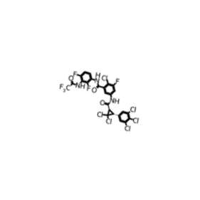 O=C(Nc1ccc(F)c(NC(=O)C(F)(F)F)c1F)c1cc(NC(=O)[C@H]2[C@H](c3cc(Cl)c(Cl)c(Cl)c3)C2(Cl)Cl)cc(F)c1Cl